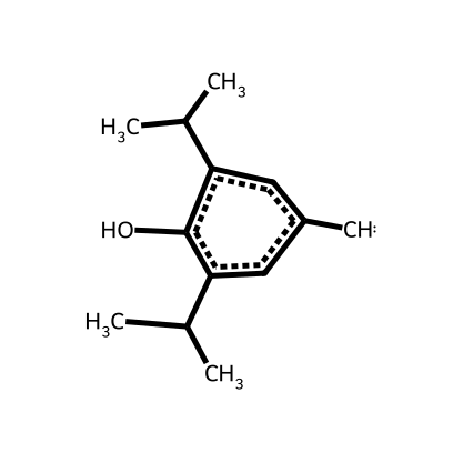 [CH]c1cc(C(C)C)c(O)c(C(C)C)c1